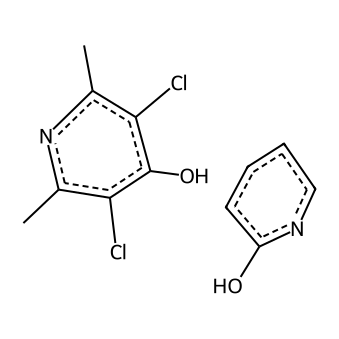 Cc1nc(C)c(Cl)c(O)c1Cl.Oc1ccccn1